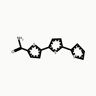 NC(=O)c1ccc(-c2ccc(-c3cccs3)s2)s1